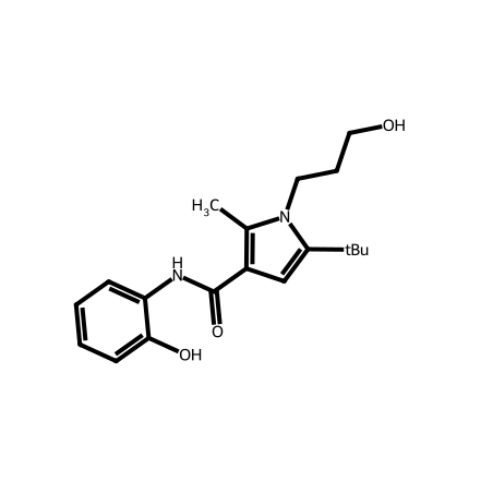 Cc1c(C(=O)Nc2ccccc2O)cc(C(C)(C)C)n1CCCO